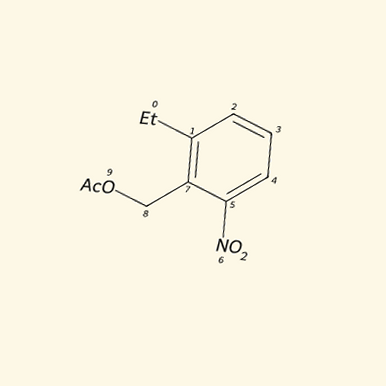 CCc1cccc([N+](=O)[O-])c1COC(C)=O